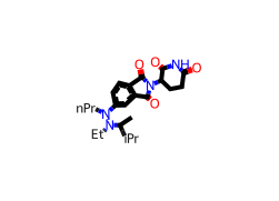 CCCN(c1ccc2c(c1)C(=O)N(C1CCC(=O)NC1=O)C2=O)N(CC)C(C)C(C)C